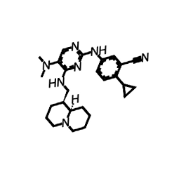 CN(C)c1cnc(Nc2ccc(C3CC3)c(C#N)c2)nc1NC[C@@H]1CCCN2CCCC[C@H]12